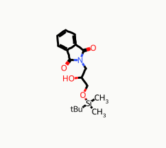 CC(C)(C)[Si](C)(C)OCC(O)CN1C(=O)c2ccccc2C1=O